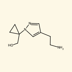 NCCc1cnn(C2(CO)CC2)c1